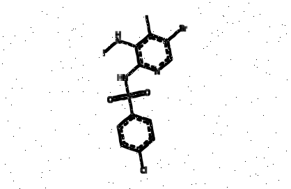 Cc1c(Br)cnc(NS(=O)(=O)c2ccc(Cl)cc2)c1NI